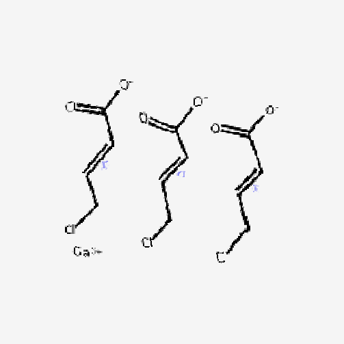 O=C([O-])/C=C/CCl.O=C([O-])/C=C/CCl.O=C([O-])/C=C/CCl.[Ga+3]